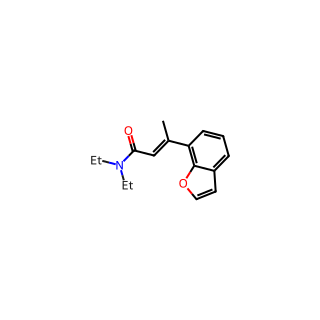 CCN(CC)C(=O)C=C(C)c1cccc2ccoc12